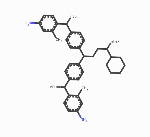 CCCCCCC(CCC(c1ccc(C(CCCC)c2ccc(N)cc2C)cc1)c1ccc(C(CCCC)c2ccc(N)cc2C)cc1)C1CCCCC1